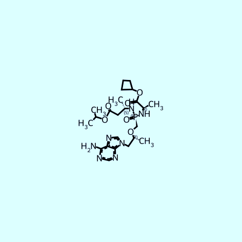 CC(C)OC(=O)C[C@H](C)N[P@](=O)(CO[C@H](C)Cn1cnc2c(N)ncnc21)N[C@H](C)C(=O)OC1CCC1